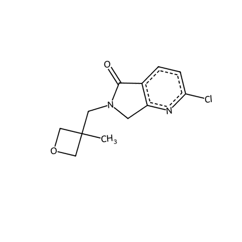 CC1(CN2Cc3nc(Cl)ccc3C2=O)COC1